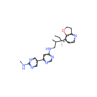 CC[C@@](C)(c1ccnc2c1OCC2)C(C)CNc1cc(-c2cnc(NC)nc2)ncn1